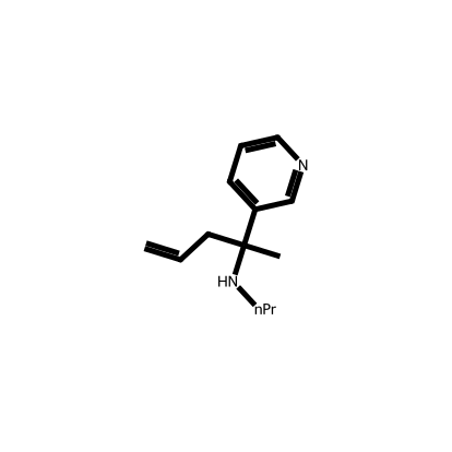 C=CCC(C)(NCCC)c1cccnc1